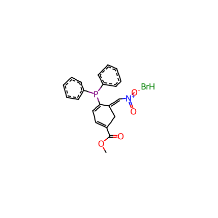 Br.COC(=O)C1=CC=C(P(c2ccccc2)c2ccccc2)C(=C[N+](=O)[O-])C1